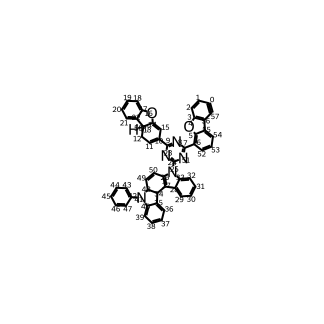 c1ccc2oc3c(-c4nc(C5=CC[C@H]6C(=C5)Oc5ccccc56)nc(-n5c6c(c7ccccc75)C5c7ccccc7N(c7ccccc7)C5C=C6)n4)cccc3c2c#1